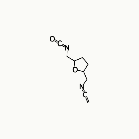 C=C=NCC1CCC(CN=C=O)O1